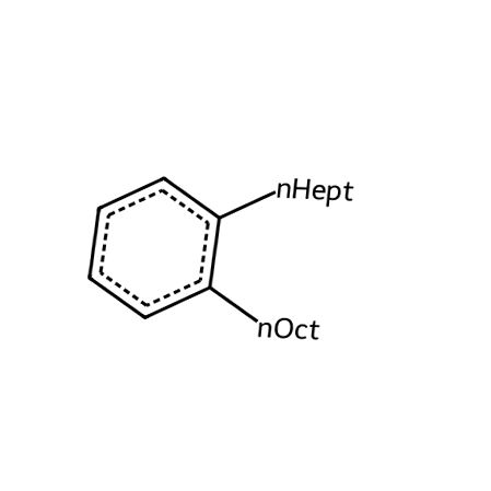 CCCCCCCCc1ccccc1CCCCCCC